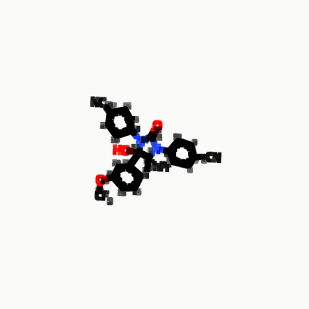 CCC[C@@]1(C)N(c2ccc(C#N)cc2)C(=O)N(c2ccc(C#N)cc2)C1(O)c1cccc(OC(F)(F)F)c1